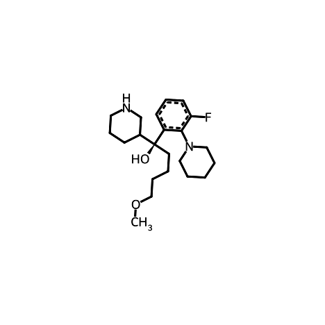 COCCCC[C@@](O)(c1cccc(F)c1N1CCCCC1)C1CCCNC1